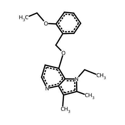 CCOc1ccccc1COc1ccnc2c(C)c(C)n(CC)c12